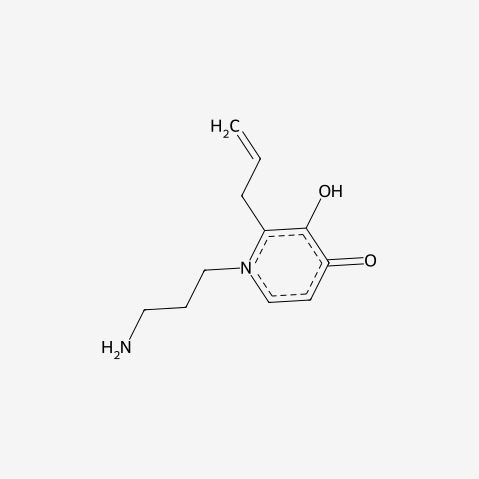 C=CCc1c(O)c(=O)ccn1CCCN